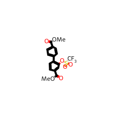 COC(=O)c1ccc(-c2ccc(C(=O)OC)cc2OS(=O)(=O)C(F)(F)F)cc1